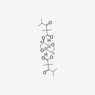 CC(C)C(=O)C(C)(C)C(=O)O[C@H]1CO[C@H]2[C@@H]1OC[C@H]2OC(=O)C(C)(C)C(=O)C(C)C